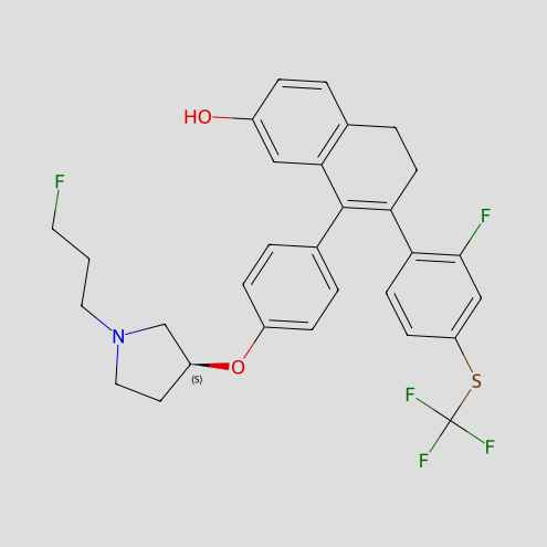 Oc1ccc2c(c1)C(c1ccc(O[C@H]3CCN(CCCF)C3)cc1)=C(c1ccc(SC(F)(F)F)cc1F)CC2